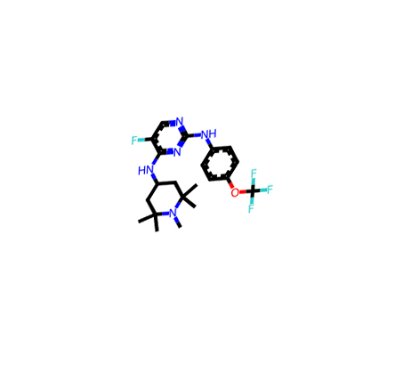 CN1C(C)(C)CC(Nc2nc(Nc3ccc(OC(F)(F)F)cc3)ncc2F)CC1(C)C